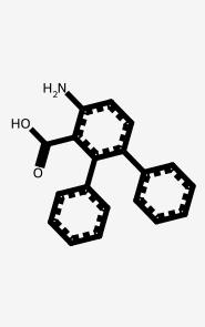 Nc1ccc(-c2ccccc2)c(-c2ccccc2)c1C(=O)O